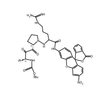 CC(C)[C@H](NC(=O)OC(C)(C)C)C(=O)C(=O)[C@@H]1CCCN1NC(CCCNC(=N)N)C(=O)Nc1ccc2c(c1)Oc1cc([N+](=O)[O-])ccc1C21OC(=O)c2ccccc21